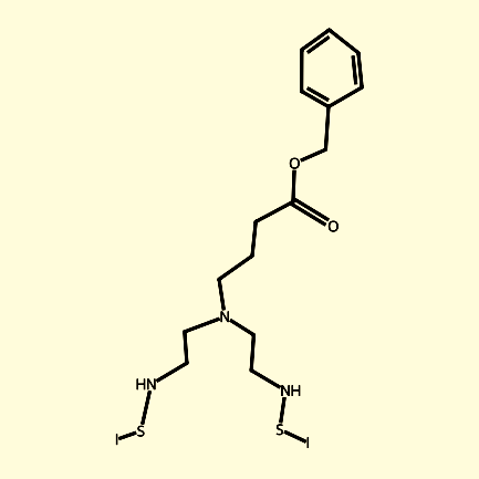 O=C(CCCN(CCNSI)CCNSI)OCc1ccccc1